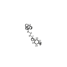 COC(=O)CCCCOc1ccc(F)cc1